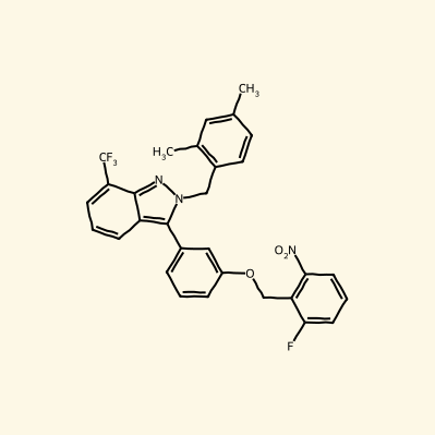 Cc1ccc(Cn2nc3c(C(F)(F)F)cccc3c2-c2cccc(OCc3c(F)cccc3[N+](=O)[O-])c2)c(C)c1